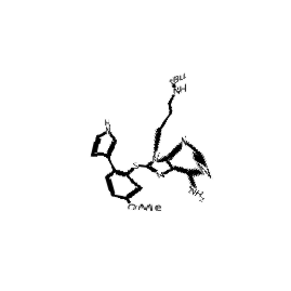 COc1ccc(-c2cc[nH]c2)c(Sc2nc3c(N)ncnc3n2CCCNC(C)(C)C)c1